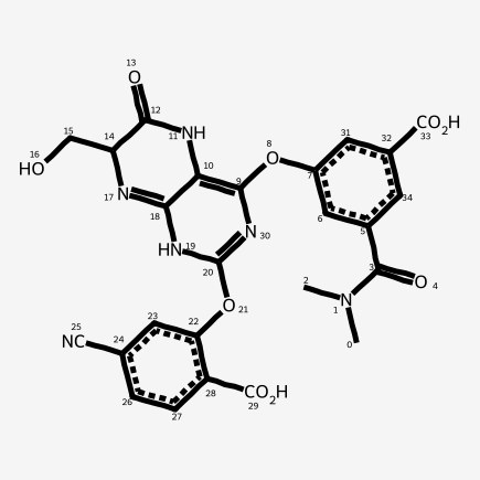 CN(C)C(=O)c1cc(OC2=C3NC(=O)C(CO)N=C3NC(Oc3cc(C#N)ccc3C(=O)O)=N2)cc(C(=O)O)c1